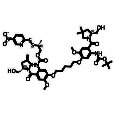 C=C1C[C@@H](CO)N(C(=O)c2cc(OC)c(OCCCCCOc3cc(NC(=O)OC(C)(C)C)c(C(=O)N4CC(C)(C)C[C@H]4CO)cc3OC)cc2NC(=O)OC[C@@H](C)SSc2ccc([N+](=O)[O-])cn2)C1